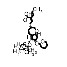 CCCC(=CC[C@H]1CC[C@@H]2[C@@H](CO[Si](C)(C)C(C)(C)C)[C@H](OC3CCCCO3)C[C@@H]2OC1)C(=O)O